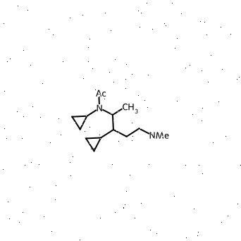 CNCCC(C1CC1)C(C)N(C(C)=O)C1CC1